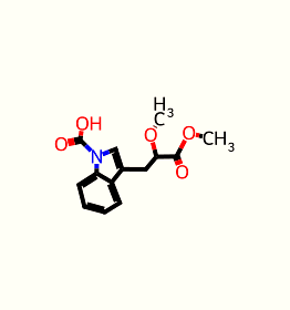 COC(=O)C(Cc1cn(C(=O)O)c2ccccc12)OC